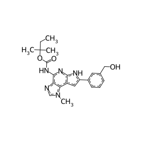 CCC(C)(C)OC(=O)Nc1nc2[nH]c(-c3cccc(CO)c3)cc2c2c1ncn2C